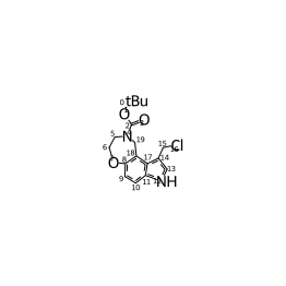 CC(C)(C)OC(=O)N1CCOc2ccc3[nH]cc(CCl)c3c2C1